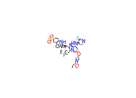 C=CC(=O)N1CC(Oc2cc(N[C@@H]3CCN(C)C[C@@H]3F)c3nc(C#CCNc4ccc(S(C)(=O)=O)cc4OC)c(CC(F)(F)F)n3c2)C1